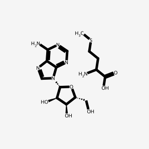 CSCCC(N)C(=O)O.Nc1ncnc2c1ncn2[C@@H]1O[C@H](CO)[C@@H](O)[C@H]1O